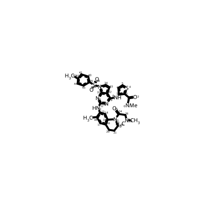 CNC(=O)c1sccc1Nc1nc(Nc2cc3c(cc2C)CCCN3C(=O)CN(C)C)nc2c1ccn2S(=O)(=O)c1ccc(C)cc1